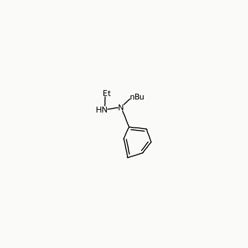 CCCCN(NCC)c1ccccc1